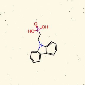 O=P(O)(O)CCn1c2ccccc2c2ccccc21